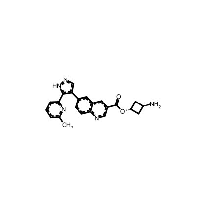 Cc1cccc(-c2[nH]ncc2-c2ccc3ncc(C(=O)O[C@H]4C[C@H](N)C4)cc3c2)n1